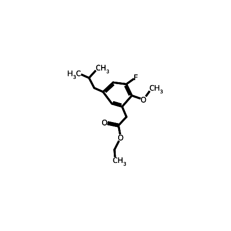 CCOC(=O)Cc1cc(CC(C)C)cc(F)c1OC